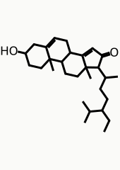 CCC(CCC(C)C1C(=O)C=C2C3CC=C4CC(O)CCC4(C)C3CCC21C)C(C)C